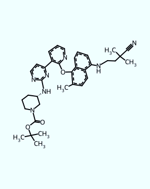 Cc1ccc2c(NCCC(C)(C)C#N)cccc2c1Oc1ncccc1-c1ccnc(N[C@H]2CCCN(C(=O)OC(C)(C)C)C2)n1